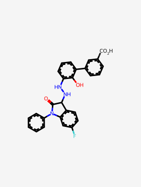 O=C(O)c1cccc(-c2cccc(NNC3C(=O)N(c4ccccc4)c4cc(F)ccc43)c2O)c1